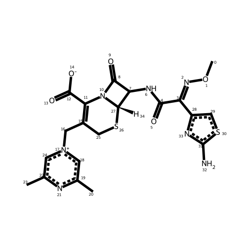 CON=C(C(=O)NC1C(=O)N2C(C(=O)[O-])=C(C[n+]3cc(C)nc(C)c3)CS[C@@H]12)c1csc(N)n1